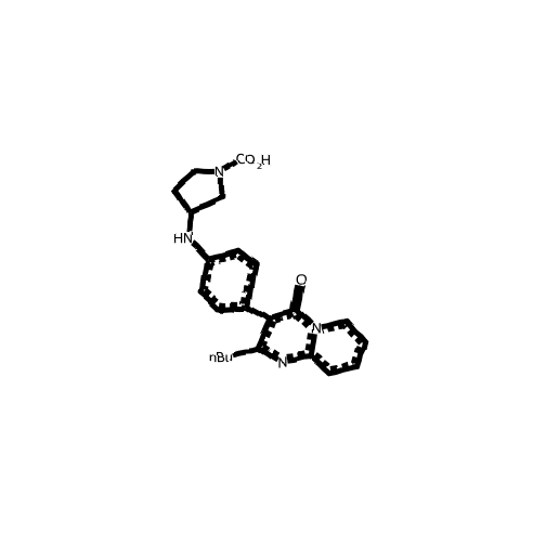 CCCCc1nc2ccccn2c(=O)c1-c1ccc(NC2CCN(C(=O)O)C2)cc1